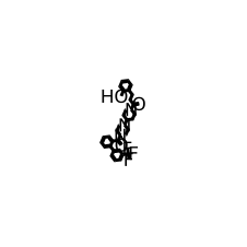 O=C(CCc1ccccc1O)N1CCC(N2CCN(C(=O)c3ccccc3-c3cccc(C(F)(F)F)c3)CC2)CC1